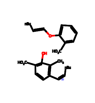 CCCC/C=C\c1ccc(C(=O)O)c(O)c1C.CCCCC=COc1ccccc1C(=O)O